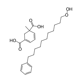 CC1(C(=O)O)C=CC=C(C(=O)O)C1.OOCCCCCCCCCCCc1ccccc1